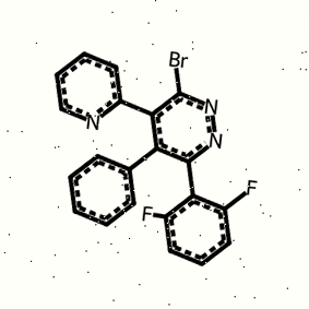 Fc1cccc(F)c1-c1nnc(Br)c(-c2ccccn2)c1-c1ccccc1